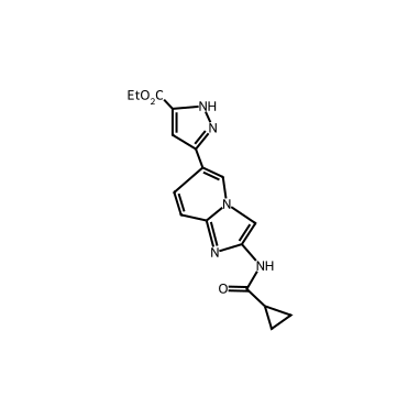 CCOC(=O)c1cc(-c2ccc3nc(NC(=O)C4CC4)cn3c2)n[nH]1